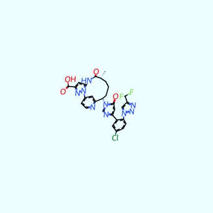 C[C@@H]1CCC[C@H](n2cnc(-c3cc(Cl)ccc3-n3cc(C(F)F)nn3)cc2=O)c2cc(ccn2)-n2nc(C(=O)O)cc2NC1=O